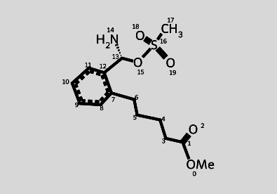 COC(=O)CCCCc1ccccc1[C@H](N)OS(C)(=O)=O